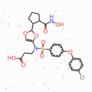 O=C(O)CCN(C1=COC(C2CCCC2C(=O)NO)O1)S(=O)(=O)c1ccc(Oc2ccc(Cl)cc2)cc1